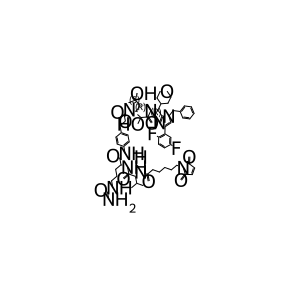 CC(O)C(=O)N(C[C@@H]1CN(C(=O)OCc2ccc(NC(=O)C(CCCNC(N)=O)NC(=O)C(NC(=O)CCCCCN3C(=O)C=CC3=O)C(C)C)cc2)C[C@H]1O)[C@@H](c1nc(-c2cc(F)ccc2F)cn1Cc1ccccc1)C1CCOCC1